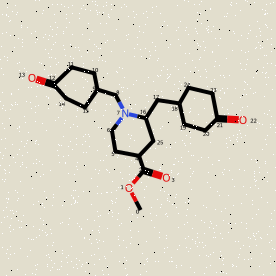 COC(=O)C1CCN(CC2CCC(=O)CC2)C(CC2CCC(=O)CC2)C1